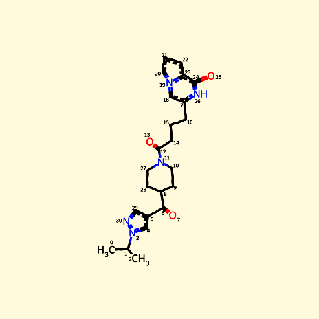 CC(C)n1cc(C(=O)C2CCN(C(=O)CCCc3cn4cccc4c(=O)[nH]3)CC2)cn1